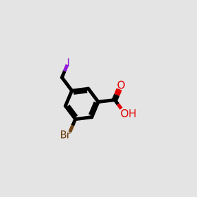 O=C(O)c1cc(Br)cc(CI)c1